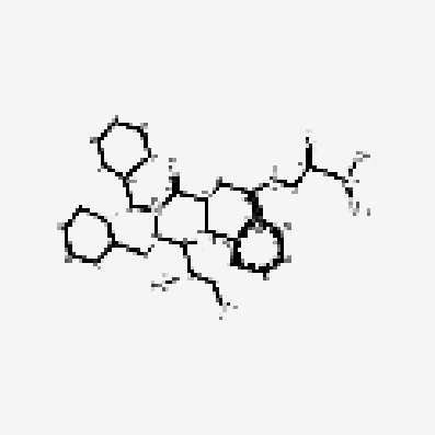 CC(C)C[C@H](O)[C@H](O)[C@H](CC1CCCCC1)N(CC1CCCCC1)C(=O)[C@@H](CC(=O)NCC(=O)N(C)C)Cc1ccccn1